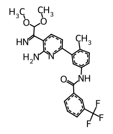 COC(OC)C(=N)c1ccc(-c2cc(NC(=O)c3cccc(C(F)(F)F)c3)ccc2C)nc1N